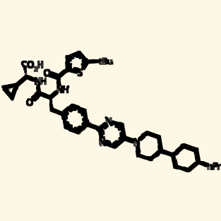 CCCC1CCC(C2CCN(c3cnc(-c4ccc(C[C@H](NC(=O)c5ccc(C(C)(C)C)s5)C(=O)N[C@@H](C(=O)O)C5CC5)cc4)nc3)CC2)CC1